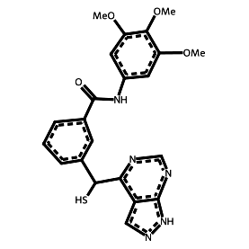 COc1cc(NC(=O)c2cccc(C(S)c3ncnc4[nH]ncc34)c2)cc(OC)c1OC